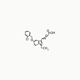 CCn1cc(/C=N/OCC(=O)O)c2cc(OCc3ccccc3Cl)ccc21